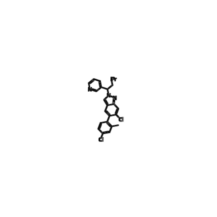 Cc1cc(Cl)ccc1-c1cc2cn(C(CC(C)C)c3cccnc3)nc2cc1Cl